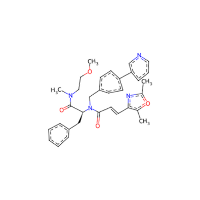 COCCN(C)C(=O)[C@H](Cc1ccccc1)N(Cc1ccc(-c2cccnc2)cc1)C(=O)/C=C/c1nc(C)oc1C